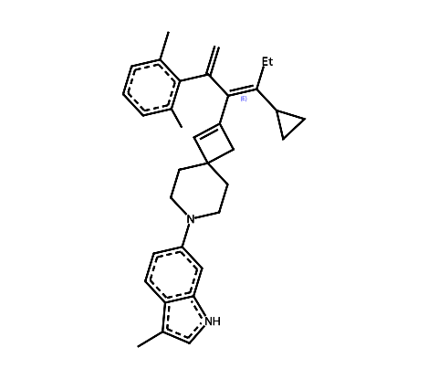 C=C(/C(C1=CC2(CCN(c3ccc4c(C)c[nH]c4c3)CC2)C1)=C(\CC)C1CC1)c1c(C)cccc1C